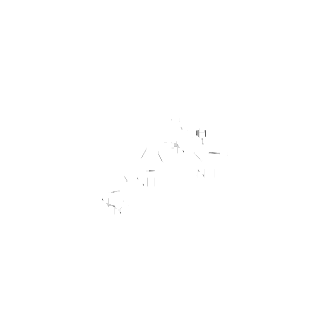 CCCNc1c(N[C@@H](Cc2ccc(NC(=O)c3snnc3C)cc2)C(=O)O)c(=O)c1=O